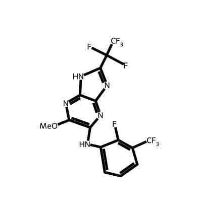 COc1nc2[nH]c(C(F)(F)C(F)(F)F)nc2nc1Nc1cccc(C(F)(F)F)c1F